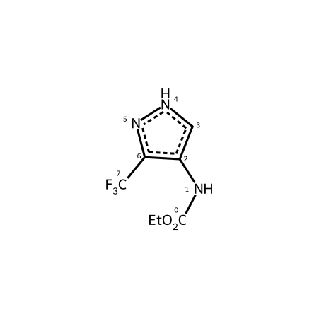 CCOC(=O)Nc1c[nH]nc1C(F)(F)F